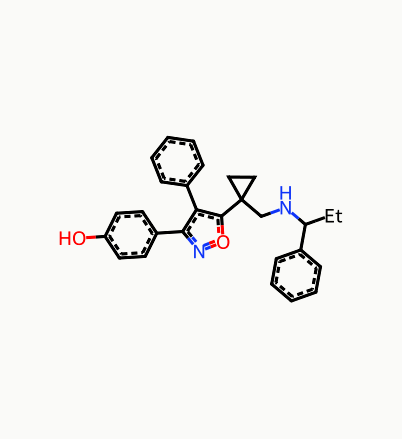 CCC(NCC1(c2onc(-c3ccc(O)cc3)c2-c2ccccc2)CC1)c1ccccc1